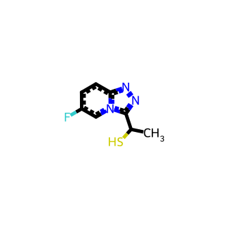 CC(S)c1nnc2ccc(F)cn12